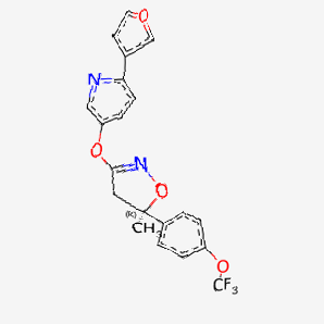 C[C@]1(c2ccc(OC(F)(F)F)cc2)CC(Oc2ccc(-c3ccoc3)nc2)=NO1